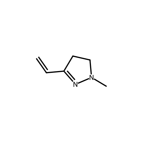 C=CC1=NN(C)CC1